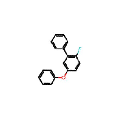 Fc1ccc(Oc2ccccc2)cc1-c1ccccc1